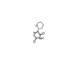 O=c1cnn(C2CCCCO2)c(=O)[nH]1